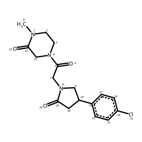 CN1CCN(C(=O)CN2CC(c3ccc(Cl)cc3)CC2=O)CC1=O